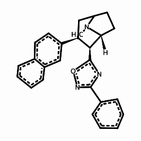 CN1C2CC[C@@H]1[C@@H](c1nc(-c3ccccc3)no1)[C@@H](c1ccc3ccccc3c1)C2